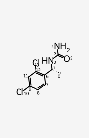 C[C@@H](NC(N)=O)c1ccc(Cl)cc1Cl